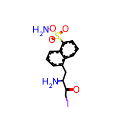 NOS(=O)(=O)c1cccc2c(CC(N)C(=O)CI)cccc12